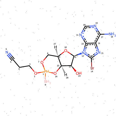 B[PH]1(OCCC#N)OC[C@H]2O[C@@H](n3c(Br)nc4c(N)ncnc43)[C@@H](O)[C@H]2O1